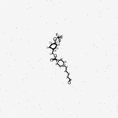 O=[C]CCCCN1CCN(C(=O)OCc2ccc(OC(F)(F)F)cc2)CC1